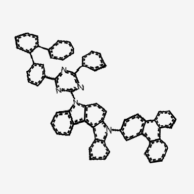 c1ccc(-c2nc(-c3cccc(-c4ccccc4-c4ccccc4)c3)nc(-n3c4ccccc4c4c5c6ccccc6n(-c6ccc7c8ccccc8c8ccccc8c7c6)c5ccc43)n2)cc1